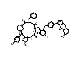 COC[C@@H]1NC(=O)[C@H](C)N(Cc2ccc(Cl)cc2Oc2ccc(-c3cnc(CN4CCC(O)C4)n3C)cc2)C(=O)C[C@@H](Cc2ccccc2)C(=O)N2CCC[C@@](Cc3ccc(Cl)cc3)(C2)NC1=O